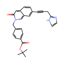 CC(C)(C)OC(=O)c1ccc(Cn2cc3cc(C#CCc4ncc[nH]4)ccc3cc2=O)cc1